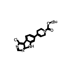 CC(C)(C)OC(=O)N1CC=C(c2ccc3c(c2)[nH]c2ncnc(Cl)c23)CC1